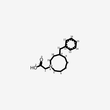 O=C(O)CN1CCCCCC(Cc2ccccc2)CC1